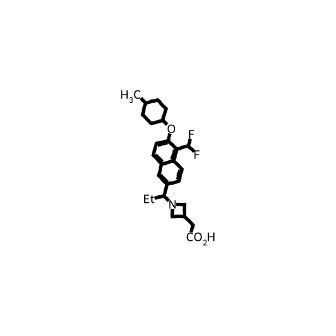 CCC(c1ccc2c(C(F)F)c(OC3CCC(C)CC3)ccc2c1)N1CC(CC(=O)O)C1